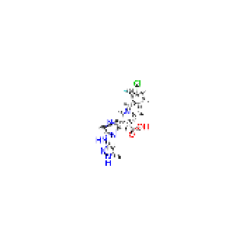 Cc1cc(Nc2nc(C[C@@]3(C(=O)O)CCN(Cc4cccc(Cl)c4F)[C@H](C)C3)cnc2C)n[nH]1